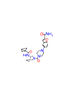 NC(=O)c1cc2cc(N3CCN(C(=O)N4CC(NC(=O)C56CC5C6)C5(CC5)C4)CC3)ccc2o1